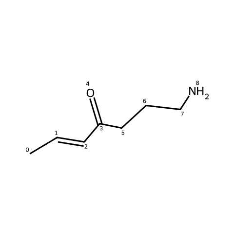 C/C=C/C(=O)CCCN